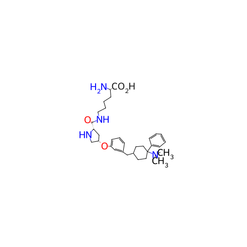 CN(C)C1(c2ccccc2)CCC(Cc2cccc(O[C@@H]3CN[C@H](C(=O)NCCCC[C@H](N)C(=O)O)C3)c2)CC1